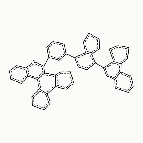 c1cc(-c2ccc(-c3cc4cccnc4c4ccccc34)c3ccccc23)cc(-c2nc3ccccc3c3c4ccccc4c4ccccc4c23)c1